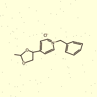 CC1OCC(c2cc[n+](Cc3ccccc3)cc2)O1.[Cl-]